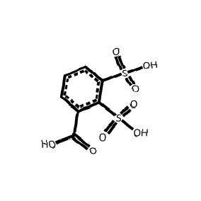 O=C(O)c1cc[c]c(S(=O)(=O)O)c1S(=O)(=O)O